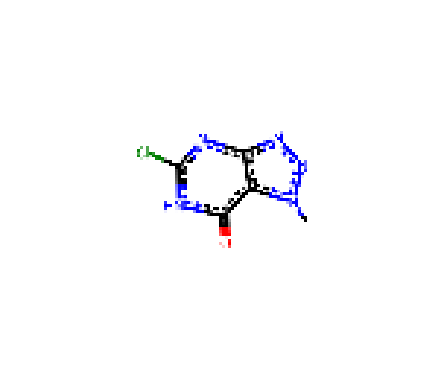 Cn1nnc2nc(Cl)[nH]c(=O)c21